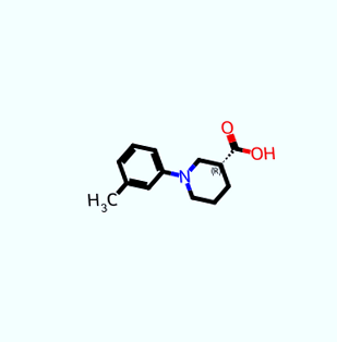 Cc1cccc(N2CCC[C@@H](C(=O)O)C2)c1